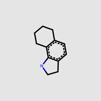 c1cc2c(c3c1CCCC3)[N]CC2